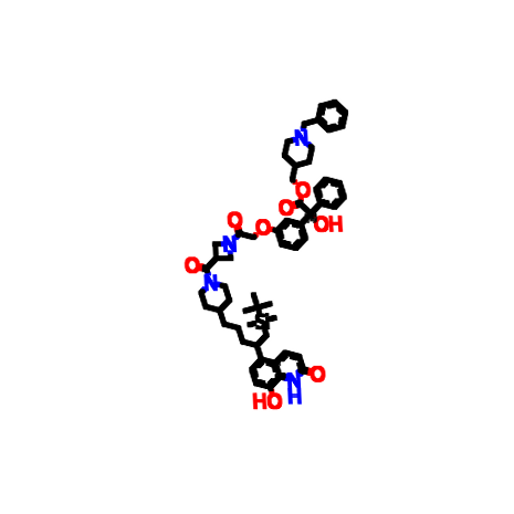 CC(C)(C)[Si](C)(C)CC(CCCC1CCN(C(=O)C2CN(C(=O)COc3cccc([C@](O)(C(=O)OCC4CCN(Cc5ccccc5)CC4)c4ccccc4)c3)C2)CC1)c1ccc(O)c2[nH]c(=O)ccc12